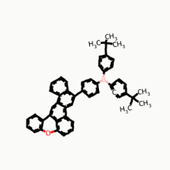 CC(C)(C)c1ccc(B(c2ccc(-c3cc4c5cccc6c5c(cc4c4ccccc34)-c3ccccc3O6)cc2)c2ccc(C(C)(C)C)cc2)cc1